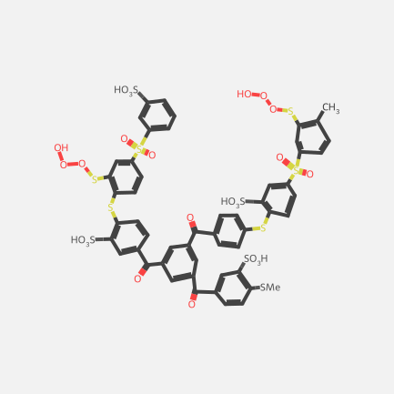 CSc1ccc(C(=O)c2cc(C(=O)c3ccc(Sc4ccc(S(=O)(=O)c5ccc(C)c(SOOO)c5)cc4S(=O)(=O)O)cc3)cc(C(=O)c3ccc(Sc4ccc(S(=O)(=O)c5cccc(S(=O)(=O)O)c5)cc4SOOO)c(S(=O)(=O)O)c3)c2)cc1S(=O)(=O)O